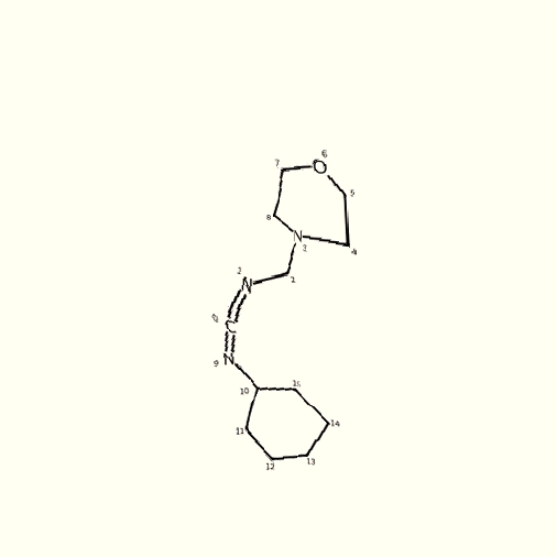 C(=NCN1CCOCC1)=NC1CCCCC1